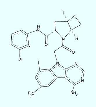 Cc1cc(C(F)(F)F)cc2c3c(N)ncnc3n(CC(=O)N3[C@H](C(=O)Nc4cccc(Br)n4)C[C@@]4(C)CC[C@@H]34)c12